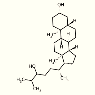 CC(C)C(O)CC[C@@H](C)[C@H]1CC[C@H]2[C@@H]3CC[C@H]4C[C@@H](O)CC[C@]4(C)[C@H]3CC[C@]12C